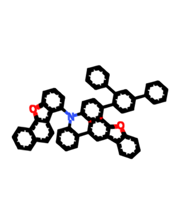 c1ccc(-c2ccc(-c3ccc(N(c4ccccc4-c4ccc5oc6ccccc6c5c4)c4cccc5oc6c7ccccc7ccc6c45)cc3)c(-c3ccccc3)c2)cc1